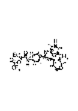 CCN(OC(=O)C(F)(F)F)C(=O)Nc1ccc(-c2nc3c(c(N4CCOCC4C)n2)CCNC3)cc1